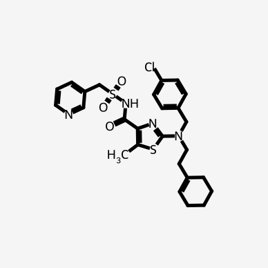 Cc1sc(N(CCC2=CCCCC2)Cc2ccc(Cl)cc2)nc1C(=O)NS(=O)(=O)Cc1cccnc1